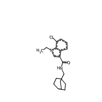 CCn1cc(C(=O)NCC23CCC(CC2)CC3)c2cccc(Cl)c21